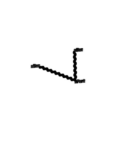 [CH2]CCCCC(CCCCCCCCCCCCCCCCCCCCCC)CCCCCCCCCCCCCCCCCCCCCCCCCCC